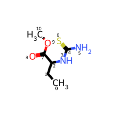 CCC(NC(N)=S)C(=O)OC